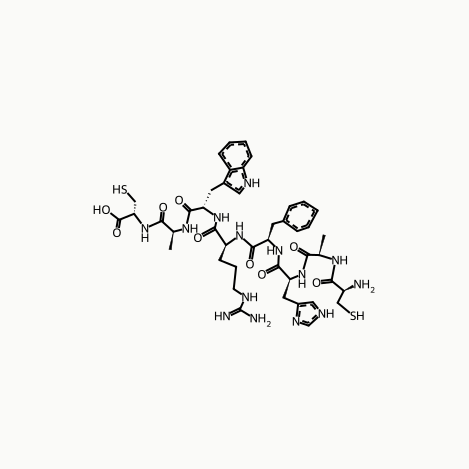 C[C@H](NC(=O)[C@H](Cc1c[nH]c2ccccc12)NC(=O)[C@H](CCCNC(=N)N)NC(=O)[C@@H](Cc1ccccc1)NC(=O)[C@H](Cc1c[nH]cn1)NC(=O)[C@@H](C)NC(=O)[C@@H](N)CS)C(=O)N[C@@H](CS)C(=O)O